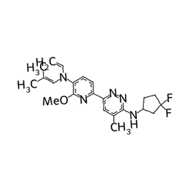 C=CN(C=C(C)C)c1ccc(-c2cc(C)c(NC3CCC(F)(F)C3)nn2)nc1OC